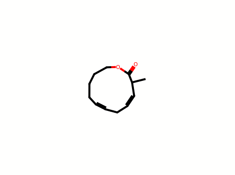 CC1C=CCC=CCCCCOC1=O